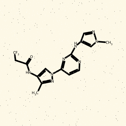 Cc1nn(-c2ccnc(Nc3cnn(C)c3)n2)cc1NC(=O)CC(F)(F)F